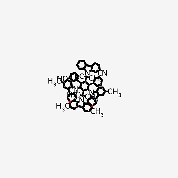 Cc1ccc2c(c1)c1cc(C)ccc1n2-c1c(-c2cccc(C#N)c2)c(C(C)(C)n2c3ccccc3c3ccccc32)c(-c2cccc(C#N)c2)c(-n2c3ccc(C)cc3c3cc(C)ccc32)c1C(C)(C)n1c2ccccc2c2ccccc21